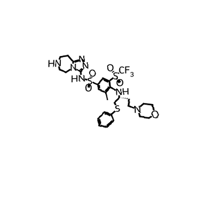 Cc1cc(S(=O)(=O)Nc2nnc3n2CCNCC3)cc(S(=O)(=O)C(F)(F)F)c1N[C@H](CCN1CCOCC1)CSc1ccccc1